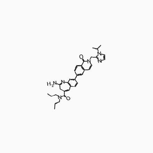 CCCN(CCC)C(=O)C1=Cc2ccc(-c3ccc4c(=O)n(Cc5nccn5C(C)C)ccc4c3)cc2N=C(N)C1